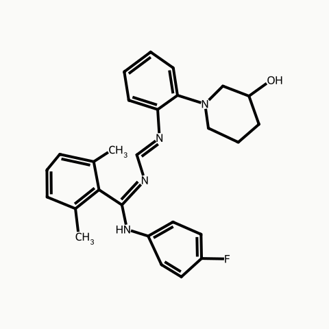 Cc1cccc(C)c1/C(=N\C=N\c1ccccc1N1CCCC(O)C1)Nc1ccc(F)cc1